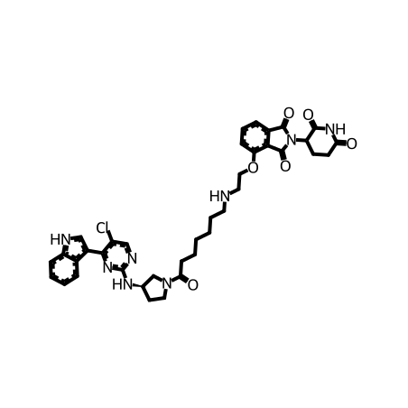 O=C1CCC(N2C(=O)c3cccc(OCCNCCCCCCC(=O)N4CC[C@@H](Nc5ncc(Cl)c(-c6c[nH]c7ccccc67)n5)C4)c3C2=O)C(=O)N1